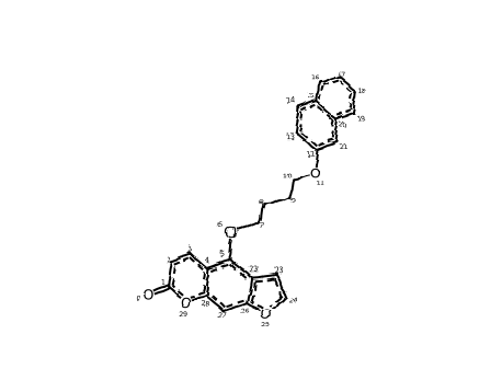 O=c1ccc2c(OCCCCOc3ccc4ccccc4c3)c3ccoc3cc2o1